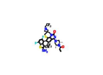 C=CC(=O)N1[C@H](C)CN(c2nc(=O)n3c4c(c(-c5c(F)cc(F)c6sc(N)c(C#N)c56)c(C(F)(F)F)cc24)SCC2(CN(CC(F)(F)F)C2)C3)C[C@@H]1C